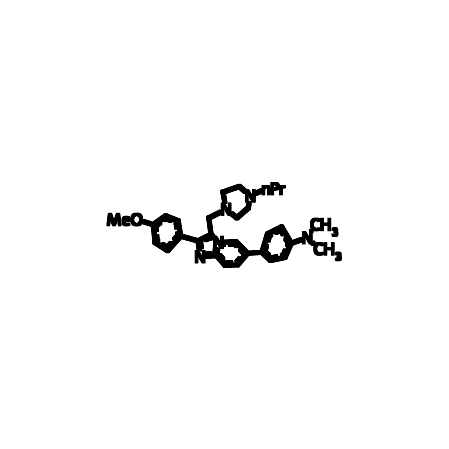 CCCN1CCN(Cc2c(-c3ccc(OC)cc3)nc3ccc(-c4ccc(N(C)C)cc4)cn23)CC1